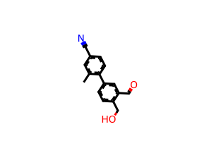 Cc1cc(C#N)ccc1-c1ccc(CO)c(C=O)c1